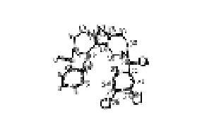 C=C(c1ccccc1)N1CCn2nc3c(c2C1=O)CN(C(=O)c1ccc(Cl)c(Cl)c1)CC3